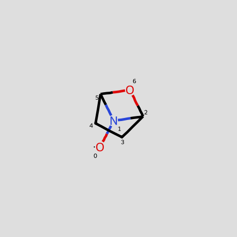 [O]N1C2CCC1O2